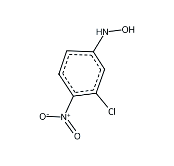 O=[N+]([O-])c1ccc(NO)cc1Cl